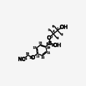 CC(C)(O)C(C)(C)OB(O)c1ccc(OCC#N)cc1